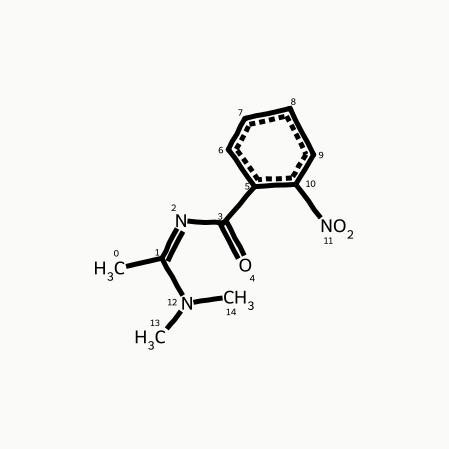 CC(=NC(=O)c1ccccc1[N+](=O)[O-])N(C)C